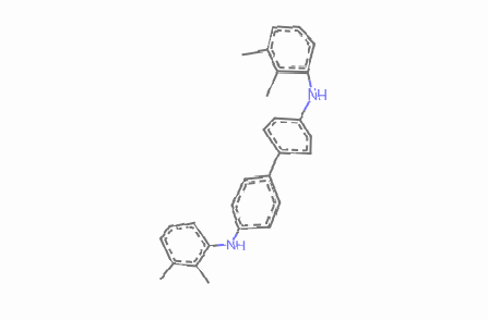 Cc1cccc(Nc2ccc(-c3ccc(Nc4cccc(C)c4C)cc3)cc2)c1C